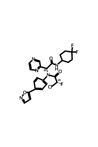 O=C(NC1CCC(F)(F)CC1)[C@@H](c1cnccn1)N(C(=O)[C@H](F)Cl)c1ccc(-c2ccno2)cc1